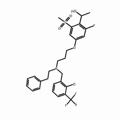 CC(O)c1c(F)cc(OCCCN(CCc2ccccc2)Cc2cccc(C(F)(F)F)c2Cl)cc1S(C)(=O)=O